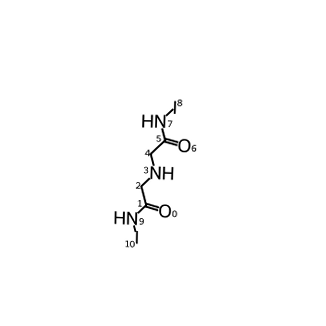 O=C(CNCC(=O)NI)NI